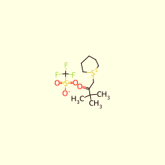 CC(C)(C)C(=O)C[S+]1CCCCC1.O=S(=O)([O-])C(F)(F)F